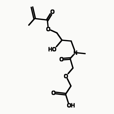 C=C(C)C(=O)OCC(O)CN(C)C(=O)COCC(=O)O